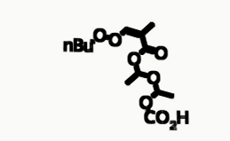 CCCCOOC=C(C)C(=O)OC(C)OC(C)OC(=O)O